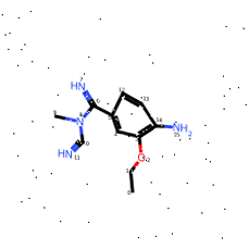 CCOc1cc(C(=N)N(C)C=N)ccc1N